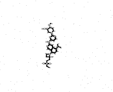 CCS(=O)(=O)CC[C@]1(C)CCN1c1ccc(C(C)C)c2cc(Nc3ccnc(N4CC[C@@H](OC)[C@H](O)C4)n3)ncc12